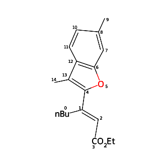 CCCCC(=CC(=O)OCC)c1oc2cc(C)ccc2c1C